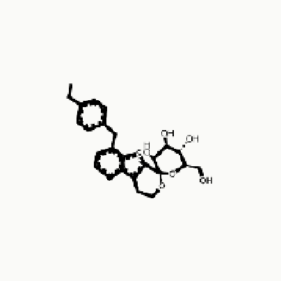 CCc1ccc(Cc2cccc3c4c(sc23)[C@@]2(OCC4)O[C@H](CO)[C@@H](O)[C@H](O)[C@H]2O)cc1